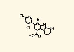 O=C(O)c1cc(-c2ccc(Cl)cc2Cl)c(Br)c2nc3n(c12)CCCN3